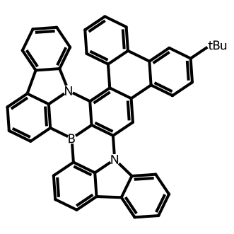 CC(C)(C)c1ccc2c(c1)c1ccccc1c1c3c4c(cc21)-n1c2ccccc2c2cccc(c21)B4c1cccc2c4ccccc4n-3c12